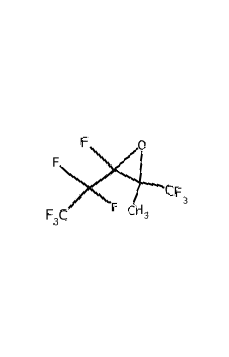 CC1(C(F)(F)F)OC1(F)C(F)(F)C(F)(F)F